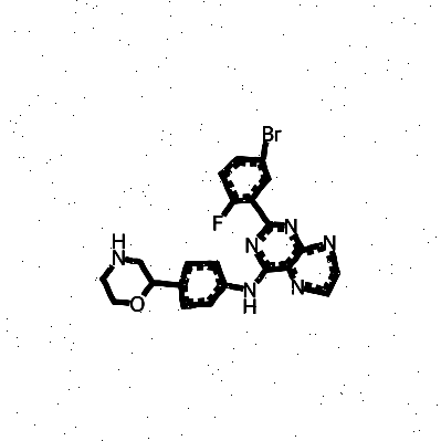 Fc1ccc(Br)cc1-c1nc(Nc2ccc(C3CNCCO3)cc2)c2nccnc2n1